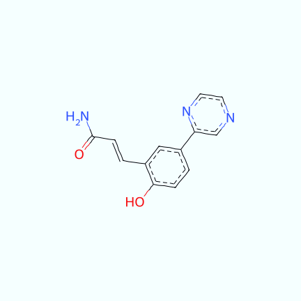 NC(=O)C=Cc1cc(-c2cnccn2)ccc1O